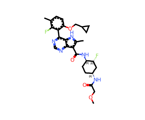 COCC(=O)N[C@@H]1CC[C@@H](NC(=O)c2c(C)[nH]c3c(-c4c(OCC5CC5)ccc(C)c4F)ncnc23)[C@H](F)C1